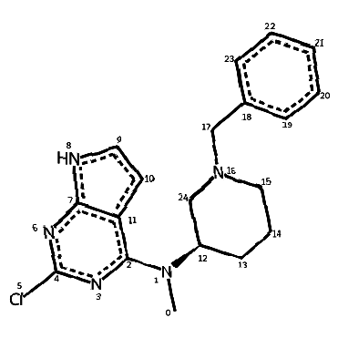 CN(c1nc(Cl)nc2[nH]ccc12)[C@@H]1CCCN(Cc2ccccc2)C1